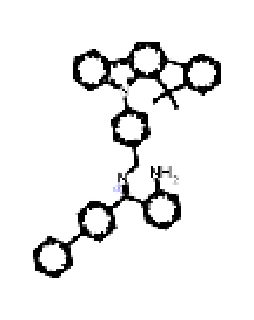 CC1(C)c2ccccc2-c2ccc3c4ccccc4n(-c4ccc(C/N=C(/c5ccc(-c6ccccc6)cc5)c5ccccc5N)cc4)c3c21